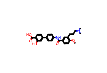 COc1ccc(C(=O)Nc2ccc(-c3ccc(C(=O)O)c(O)c3)cc2)cc1CCCN(C)C